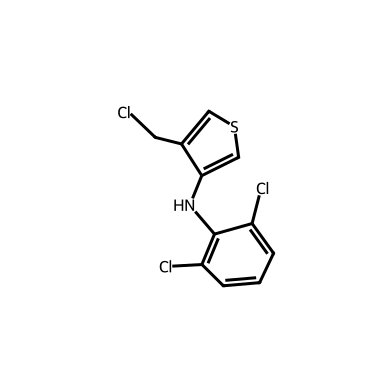 ClCc1cscc1Nc1c(Cl)cccc1Cl